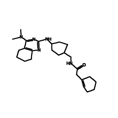 CN(C)c1nc(NC2CCC(CNC(=O)CC3=CCCCC3)CC2)nc2c1CCCC2